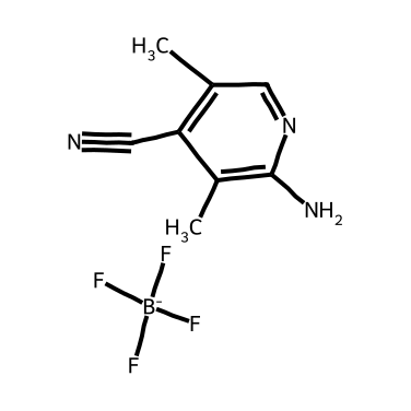 Cc1cnc(N)c(C)c1C#N.F[B-](F)(F)F